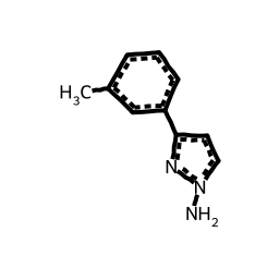 Cc1cccc(-c2ccn(N)n2)c1